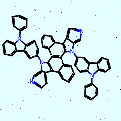 c1ccc(-n2c3ccccc3c3cc(-n4c5cnccc5c5c6ccccc6c6c(c7ccccc7c7c8ccncc8n(-c8ccc9c(c8)c8ccccc8n9-c8ccccc8)c76)c54)ccc32)cc1